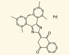 Cc1cc(C)c(C2=NC(=C3CC(=O)c4ccccc4C3=O)N=C2c2c(C)cc(C)cc2C)c(C)c1.[Pd]